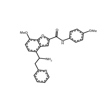 COc1ccc(NC(=O)c2cc3c(C(N)Cc4ccccn4)ccc(OC)c3o2)cc1